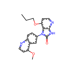 CCCOc1ccnc2[nH]c(=O)n(-c3ccc4nccc(OC)c4c3)c12